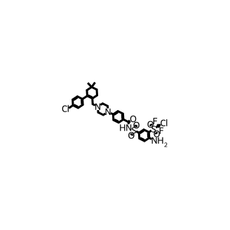 CC1(C)CCC(CN2CCN(c3ccc(C(=O)NS(=O)(=O)c4ccc(N)c(S(=O)(=O)C(F)(F)Cl)c4)cc3)CC2)=C(c2ccc(Cl)cc2)C1